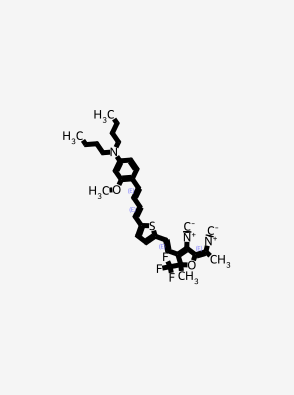 [C-]#[N+]C1=C(/C=C/c2ccc(/C=C/C=C/c3ccc(N(CCCC)CCCC)cc3OC)s2)C(C)(C(F)(F)F)O/C1=C(\C)[N+]#[C-]